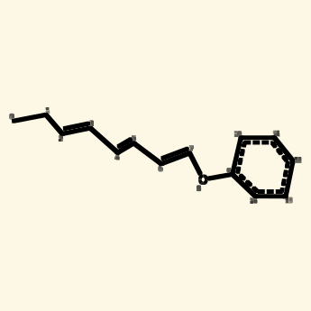 CCC=CC=CC=COc1ccccc1